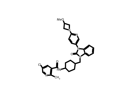 COC1CN(c2ccc(-n3c(=O)n(CC4CCC(NC(=O)c5cc(Cl)cnc5C)CC4)c4ccccc43)cn2)C1